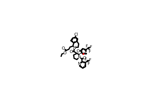 CCC[C@H]1N(C(=O)c2ncccc2C(F)(F)F)CCC[C@@]1(Oc1csc(C(F)(F)F)c1)C(=O)N1CCc2cc(Cl)ccc2C1CCC(=O)OCC